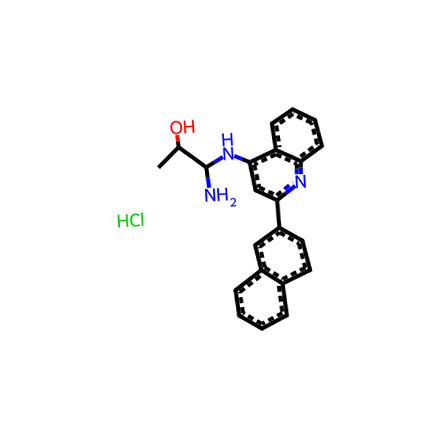 CC(O)C(N)Nc1cc(-c2ccc3ccccc3c2)nc2ccccc12.Cl